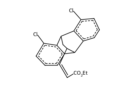 CCOC(=O)/C=C\C1CC2c3c(Cl)cccc3C1c1cccc(Cl)c12